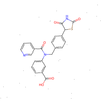 O=C1NC(=O)C(c2ccc(CN(C(=O)c3cccnc3)c3cccc(C(=O)O)c3)cc2)S1